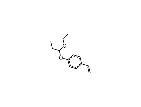 C=Cc1ccc(OC(CC)OCC)cc1